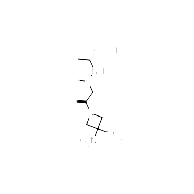 C[C@@H](N[S+]([O-])CC(=O)N1CC([N+](=O)[O-])([N+](=O)[O-])C1)C(=O)O